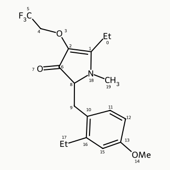 CCC1=C(OCC(F)(F)F)C(=O)C(Cc2ccc(OC)cc2CC)N1C